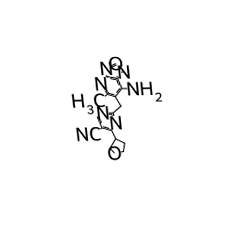 Cc1nc2nonc2c(N)c1Cc1ncc(C#N)c(C2CCOC2)n1